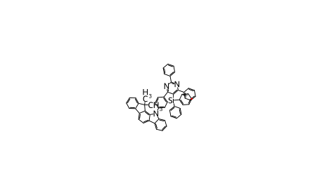 CC1(C)c2ccccc2-c2ccc3c4ccccc4n(-c4ccc5c(c4)[Si](c4ccccc4)(c4ccccc4)c4c(-c6ccccc6)nc(-c6ccccc6)nc4-5)c3c21